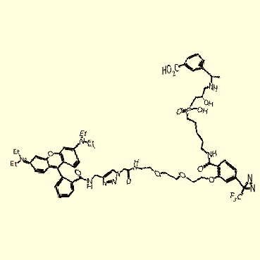 CCN(CC)c1ccc2c(-c3ccccc3C(=O)NCc3cn(CC(=O)NCCOCCOCCOc4cc(C5(C(F)(F)F)N=N5)ccc4C(=O)NCCCCCP(=O)(O)C[C@@H](O)CN[C@H](C)c4cccc(C(=O)O)c4)nn3)c3ccc(=[N+](CC)CC)cc-3oc2c1